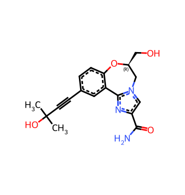 CC(C)(O)C#Cc1ccc2c(c1)-c1nc(C(N)=O)cn1C[C@H](CO)O2